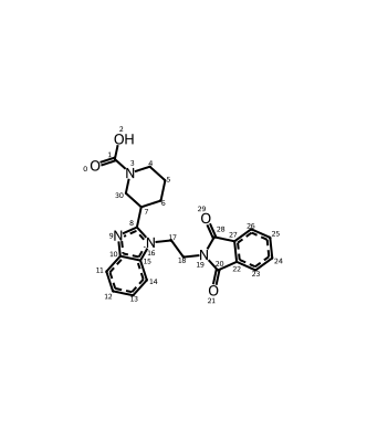 O=C(O)N1CCCC(c2nc3ccccc3n2CCN2C(=O)c3ccccc3C2=O)C1